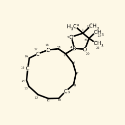 CC1(C)OB(C2CCCCCCCCCCCCCC2)OC1(C)C